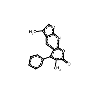 Cc1c(-c2ccccc2)c2cc3c(C)coc3nc2oc1=O